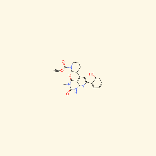 Cn1c(=O)[nH]c2nc(-c3ccccc3O)cc(C3CCCN(C(=O)OC(C)(C)C)C3)c2c1=O